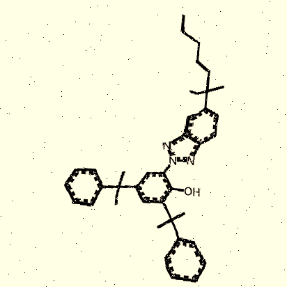 CCCCCC(C)(C)c1ccc2nn(-c3cc(C(C)(C)c4ccccc4)cc(C(C)(C)c4ccccc4)c3O)nc2c1